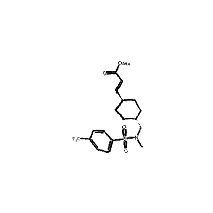 COC(=O)C=C[C@H]1CC[C@H](CN(C)S(=O)(=O)c2ccc(C(F)(F)F)cc2)CC1